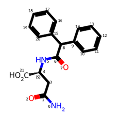 NC(=O)C[C@H](NC(=O)C(c1ccccc1)c1ccccc1)C(=O)O